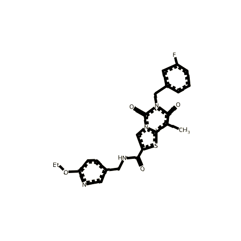 CCOc1ccc(CNC(=O)c2cn3c(=O)n(Cc4cccc(F)c4)c(=O)c(C)c3s2)cn1